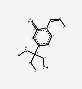 C/C=C\n1ccc(C(CC)(CO)OC)cc1=N